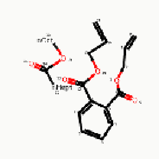 C=CCOC(=O)c1ccccc1C(=O)OCC=C.CCCCCCCCOC(=O)CCCCCCC